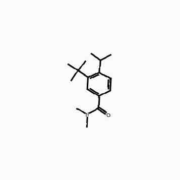 CC(C)c1ccc(C(=O)N(C)C)cc1C(C)(C)C